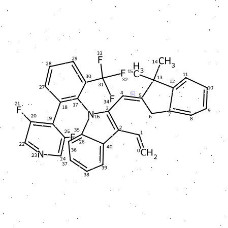 C=Cc1c(/C=C2\Cc3ccccc3C2(C)C)n(-c2c(-c3c(F)cncc3F)cccc2C(F)(F)F)c2ccccc12